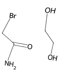 NC(=O)CBr.OCCO